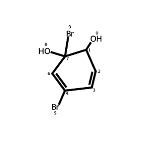 OC1C=CC(Br)=CC1(O)Br